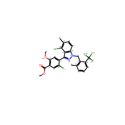 COC(=O)c1cc(F)c(-c2nn(Cc3c(C)cccc3C(F)(F)F)c3ccc(C)c(F)c23)cc1OC